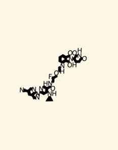 N#Cc1cnc2c(cnn2-c2cc(NC3CC3)c(C(=O)NCC(F)COCCNc3cccc4c3C(O)N(C3CCC(=O)NC3=O)C4=O)cn2)c1